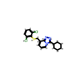 Clc1cccc(Cl)c1SCc1cccn2c(C3CCCCC3)nnc12